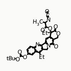 CCc1c2c(nc3ccc(OC(=O)OC(C)(C)C)cc13)-c1cc3c(c(=O)n1C2)COC(=O)[C@@]3(CC)OC(=O)C(C)N=C=O